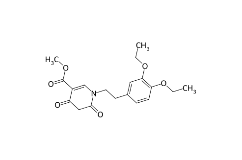 CCOc1ccc(CCN2C=C(C(=O)OC)C(=O)CC2=O)cc1OCC